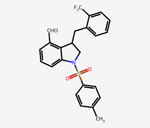 Cc1ccc(S(=O)(=O)N2CC(Cc3ccccc3C(F)(F)F)c3c(C=O)cccc32)cc1